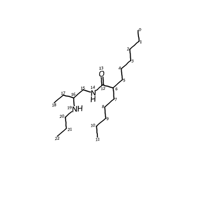 CCCCCCC(CCCCC)C(=O)NCC(CC)NCCC